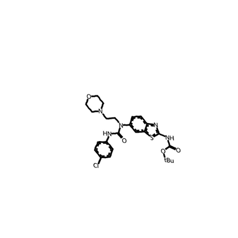 CC(C)(C)OC(=O)Nc1nc2ccc(N(CCN3CCOCC3)C(=O)Nc3ccc(Cl)cc3)cc2s1